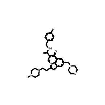 CN1CCN(CCc2cc3cc(CN4CCOCC4)cc4c(=O)c(C(=O)NCc5ccc(Cl)cc5)cn2c34)CC1